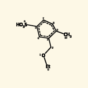 CCOCc1cc(S(=O)(=O)O)ccc1C